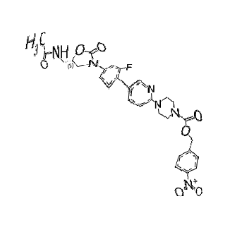 CC(=O)NC[C@H]1CN(c2ccc(-c3ccc(N4CCN(C(=O)OCc5ccc([N+](=O)[O-])cc5)CC4)nc3)c(F)c2)C(=O)O1